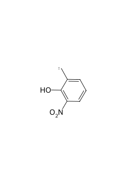 [CH]c1cccc([N+](=O)[O-])c1O